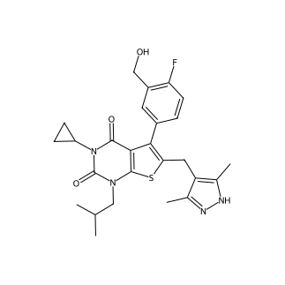 Cc1n[nH]c(C)c1Cc1sc2c(c1-c1ccc(F)c(CO)c1)c(=O)n(C1CC1)c(=O)n2CC(C)C